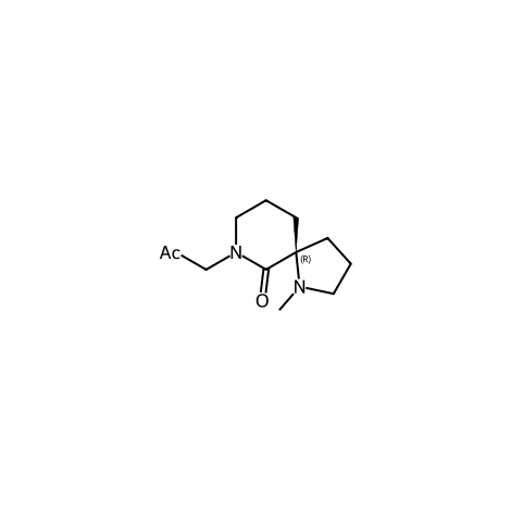 CC(=O)CN1CCC[C@]2(CCCN2C)C1=O